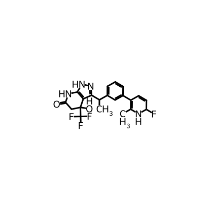 CC1=C(c2cccc(C(C)c3n[nH]c4c3C(O)(C(F)(F)F)CC(=O)N4)c2)C=CC(F)N1